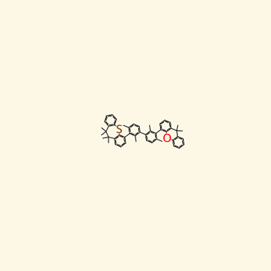 Cc1ccc(-c2ccc(C)c(-c3cccc4c3Sc3ccccc3C(C)(C)C4(C)C)c2C)c(C)c1-c1cccc2c1Oc1ccccc1C2(C)C